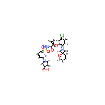 O=C(NS(=O)(=O)c1cccc(N2CC[C@H](O)C2)n1)C1(Oc2cc(Cl)ccc2N2CC3(CCCCO3)C2)CC1